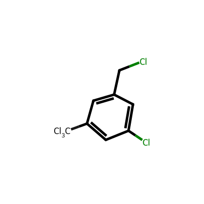 ClCc1cc(Cl)cc(C(Cl)(Cl)Cl)c1